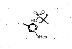 CCCCCCn1ccc(C)c1.O=S(=O)(O)C(F)(F)F